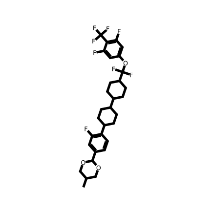 CC1COC(c2ccc(C3CCC(C4CCC(C(F)(F)Oc5cc(F)c(C(F)(F)F)c(F)c5)CC4)CC3)c(F)c2)OC1